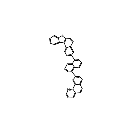 c1cnc2c(c1)ccc1ccc(-c3cccc4c(-c5ccc6c(ccc7sc8ccccc8c76)c5)cccc34)nc12